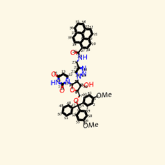 COc1ccc(C(OC[C@H]2O[C@@H](n3ccc(=O)[nH]c3=O)[C@H](n3cc(CNC(=O)c4ccc5ccc6cccc7ccc4c5c67)nn3)[C@@H]2O)(c2ccccc2)c2ccc(OC)cc2)cc1